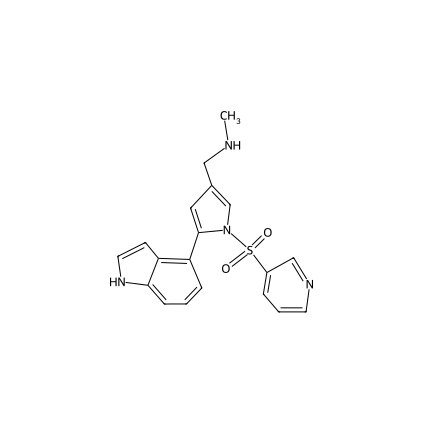 CNCc1cc(-c2cccc3[nH]ccc23)n(S(=O)(=O)c2cccnc2)c1